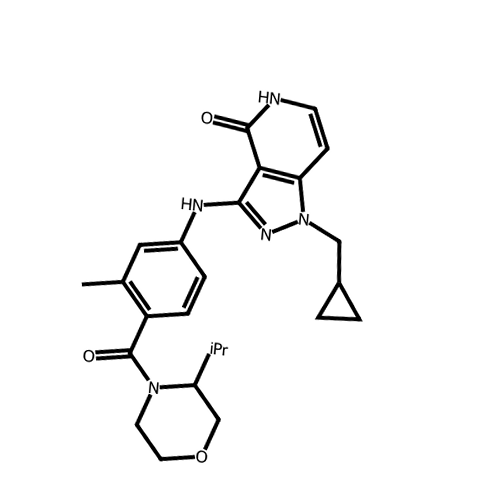 Cc1cc(Nc2nn(CC3CC3)c3cc[nH]c(=O)c23)ccc1C(=O)N1CCOCC1C(C)C